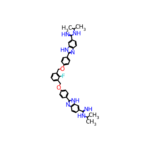 CC(C)NC(=N)c1ccc2nc(-c3ccc(OCc4cccc(COc5ccc(-c6nc7ccc(C(=N)NC(C)C)cc7[nH]6)cc5)c4F)cc3)[nH]c2c1